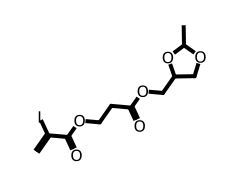 C=C(I)C(=O)OCCC(=O)OCC1COC(C)O1